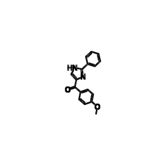 COc1ccc(C(=O)c2c[nH]c(-c3ccccc3)n2)cc1